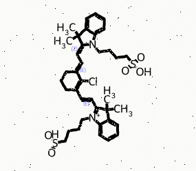 CC1(C)C(/C=C/C2=C(Cl)C(=C/C=C3\N(CCCCS(=O)(=O)O)c4ccccc4C3(C)C)/CCC2)=[N+](CCCC[SH](=O)=O)c2ccccc21